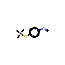 C=Nc1ccc(S[Si](C)(C)C)cc1